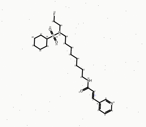 O=C(/C=C/c1cccnc1)NCCCCCCCCN(CCF)S(=O)(=O)C1CCCCC1